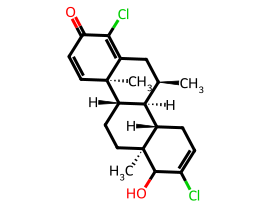 C[C@@H]1CC2=C(Cl)C(=O)C=C[C@]2(C)[C@H]2CC[C@]3(C)C(O)C(Cl)=CC[C@H]3[C@H]12